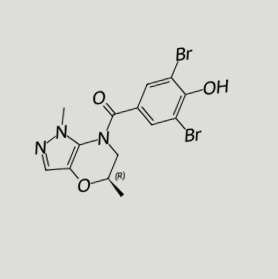 C[C@@H]1CN(C(=O)c2cc(Br)c(O)c(Br)c2)c2c(cnn2C)O1